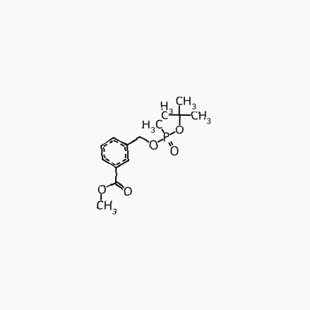 COC(=O)c1cccc(COP(C)(=O)OC(C)(C)C)c1